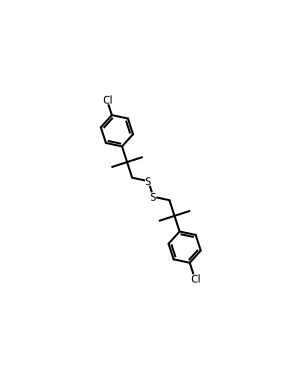 CC(C)(CSSCC(C)(C)c1ccc(Cl)cc1)c1ccc(Cl)cc1